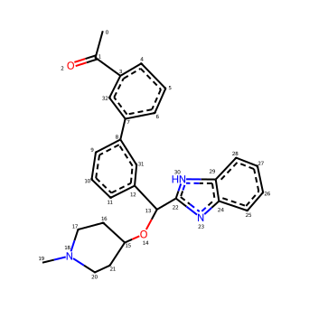 CC(=O)c1cccc(-c2cccc(C(OC3CCN(C)CC3)c3nc4ccccc4[nH]3)c2)c1